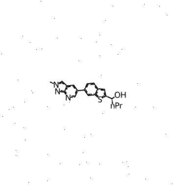 CCC[C@H](O)c1cc2ccc(-c3cnc4nn(C)cc4c3)cc2s1